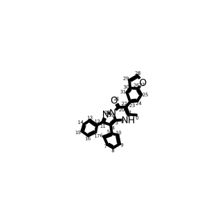 Cc1[nH]c2c(-c3ccccc3)c(-c3ccccc3)nn2c(=O)c1-c1ccc2occc2c1